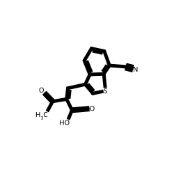 CC(=O)/C(=C/c1csc2c(C#N)cccc12)C(=O)O